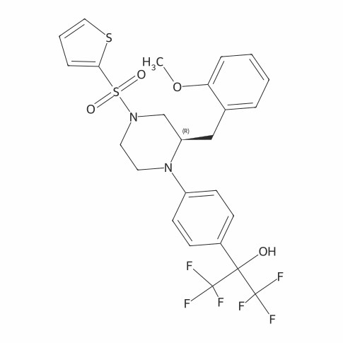 COc1ccccc1C[C@@H]1CN(S(=O)(=O)c2cccs2)CCN1c1ccc(C(O)(C(F)(F)F)C(F)(F)F)cc1